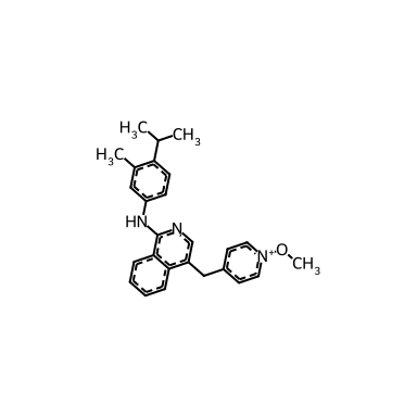 CO[n+]1ccc(Cc2cnc(Nc3ccc(C(C)C)c(C)c3)c3ccccc23)cc1